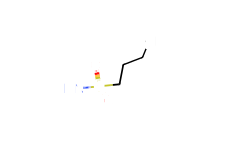 CCC[CH]S([NH])(=O)=O